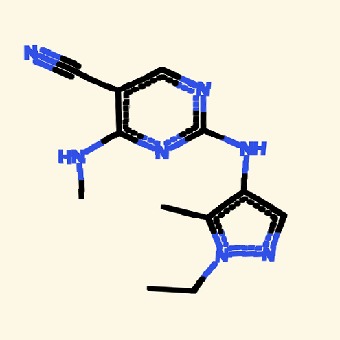 CCn1ncc(Nc2ncc(C#N)c(NC)n2)c1C